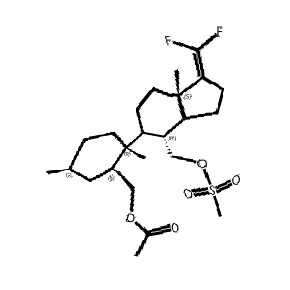 CC(=O)OC[C@H]1C[C@@H](C)CC[C@]1(C)C1CC[C@]2(C)C(=C(F)F)CCC2[C@@H]1COS(C)(=O)=O